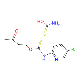 CC(=O)CCOC(=S)Nc1ccc(Cl)cn1.NC(O)=S